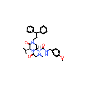 COc1ccc(CNC(=O)N2[C@H]3CN(CCC(c4ccccc4)c4ccccc4)C(=O)[C@H](C(C)C)N3C(=O)CN2C)cc1